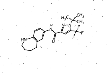 CC(C)(C)n1nc(C(=O)Nc2ccc3c(c2)CCCCN3)cc1C(F)(F)F